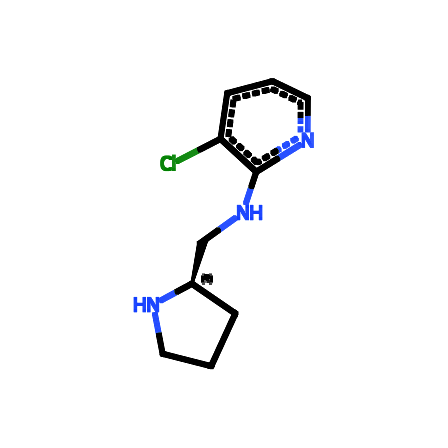 Clc1cccnc1NC[C@H]1CCCN1